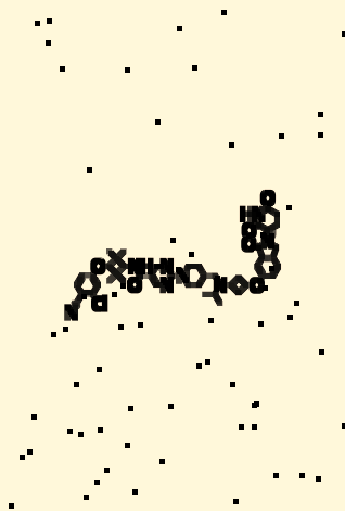 CC(C)N(CC1CCN(c2ncc(C(=O)NC3C(C)(C)C(Oc4ccc(C#N)c(Cl)c4)C3(C)C)cn2)CC1)C1CC(Oc2ccc3c(c2)C(=O)N([C@@H]2CCC(=O)NC2=O)C3)C1